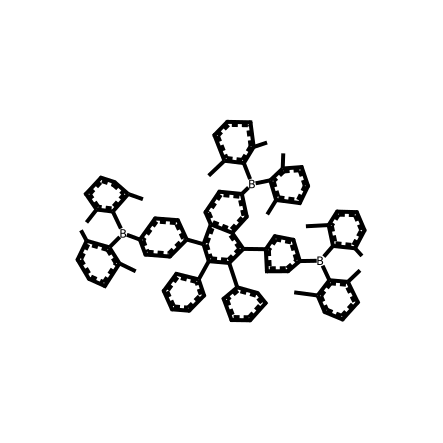 Cc1cccc(C)c1B(c1ccc(-c2c(-c3ccccc3)c(-c3ccccc3)c(-c3ccc(B(c4c(C)cccc4C)c4c(C)cccc4C)cc3)c3cc(B(c4c(C)cccc4C)c4c(C)cccc4C)ccc23)cc1)c1c(C)cccc1C